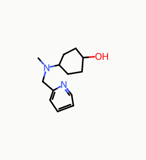 CN(Cc1ccccn1)C1CCC(O)CC1